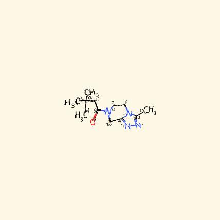 Cc1nnc2n1CCN(C(=O)CC(C)(C)C)C2